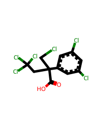 O=C(O)C(CCl)(CC(Cl)(Cl)Cl)c1cc(Cl)cc(Cl)c1